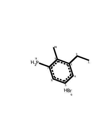 Br.CCc1cccc(P)c1C